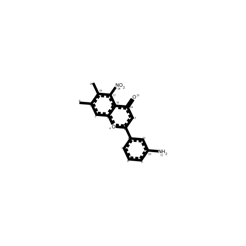 Cc1cc2oc(-c3cccc(N)c3)cc(=O)c2c([N+](=O)[O-])c1C